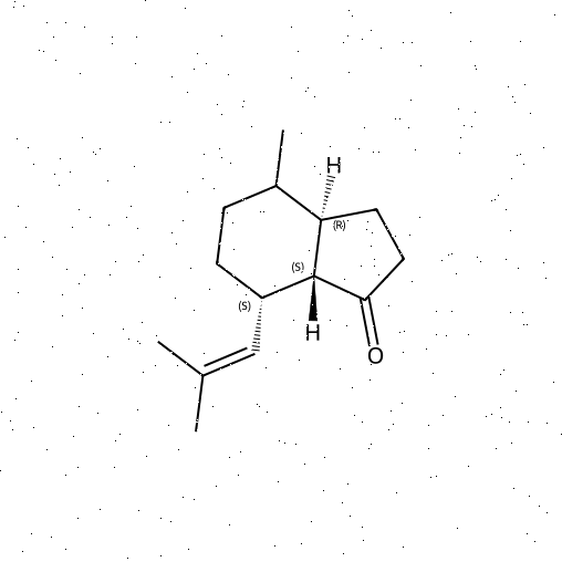 CC(C)=C[C@@H]1CCC(C)[C@H]2CCC(=O)[C@H]12